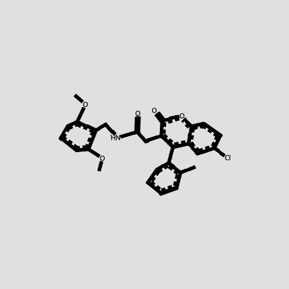 COc1cccc(OC)c1CNC(=O)Cc1c(-c2ccccc2C)c2cc(Cl)ccc2oc1=O